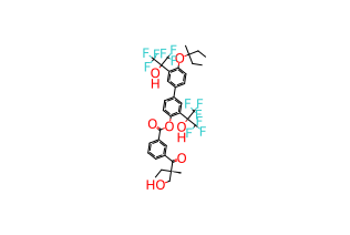 CCC(C)(CC)Oc1ccc(-c2ccc(OC(=O)c3cccc(C(=O)[C@@](C)(CC)CO)c3)c(C(O)(C(F)(F)F)C(F)(F)F)c2)cc1C(O)(C(F)(F)F)C(F)(F)F